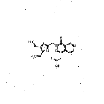 C=Cc1nc(Cn2nc(CC(=O)O)c3ccnnc3c2=O)sc1C=C